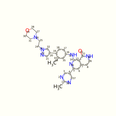 Cc1ncc(-c2cc3cc[nH]c(=O)c3c(Nc3ccc(-c4cnn(CCN5CCOCC5)c4)c(C)c3)n2)cn1